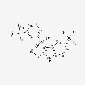 CC(C)(C)c1cccc(S(=O)(=O)c2c(CBr)[nH]c3ccc(C(F)(F)F)cc23)c1